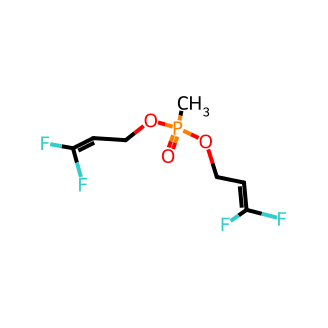 CP(=O)(OCC=C(F)F)OCC=C(F)F